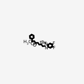 CC(O)(CC(=O)CCCCc1nc2cc(F)c(F)cc2n1C(C)(C)C)c1ccccc1